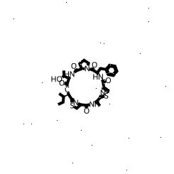 CCC(C)[C@H]1CC(=O)C(C(C)O)NC(=O)C2CCCN2C(=O)C(Cc2ccccc2)NC(=O)c2csc(n2)C(C)NC(=O)C2CSC1=N2